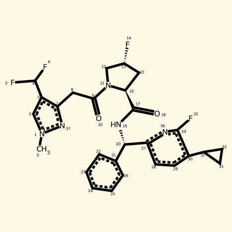 Cn1cc(C(F)F)c(CC(=O)N2C[C@H](F)C[C@H]2C(=O)N[C@@H](c2ccccc2)c2ccc(C3CC3)c(F)n2)n1